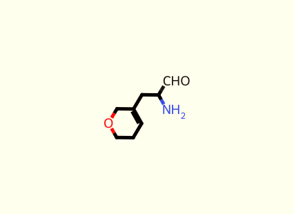 NC(C=O)CC1=CCCOC1